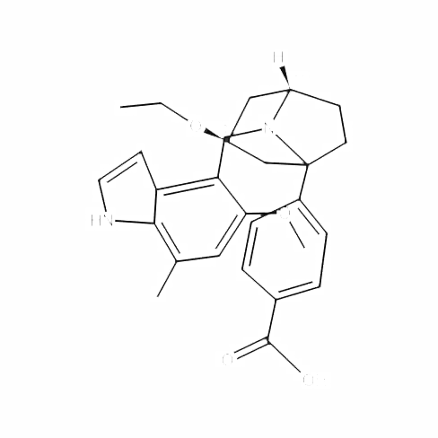 CCO[C@H]1C[C@@H]2CCC(c3ccc(C(=O)O)cc3)(C1)N2Cc1c(OC)cc(C)c2[nH]ccc12